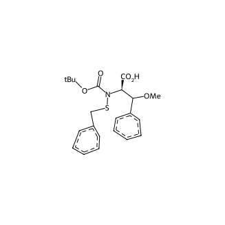 COC(c1ccccc1)[C@H](C(=O)O)N(SCc1ccccc1)C(=O)OC(C)(C)C